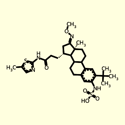 CON=C1C[C@@H](CCC(=O)Nc2ncc(C)s2)C2C3CCc4cc(NS(=O)(=O)O)c(C(C)(C)C)cc4C3CC[C@]12C